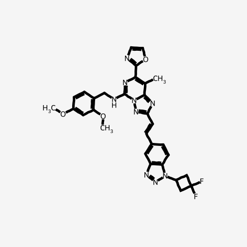 COc1ccc(CNc2nc(-c3ncco3)c(C)c3nc(C=Cc4ccc5c(c4)nnn5C4CC(F)(F)C4)nn23)c(OC)c1